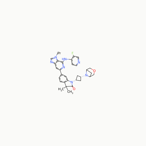 CC(C)n1cnc2cc(-c3ccc4c(c3)N([C@H]3C[C@@H](N5C6COCC5C6)C3)C(=O)C4(C)C)nc(Nc3ccncc3F)c21